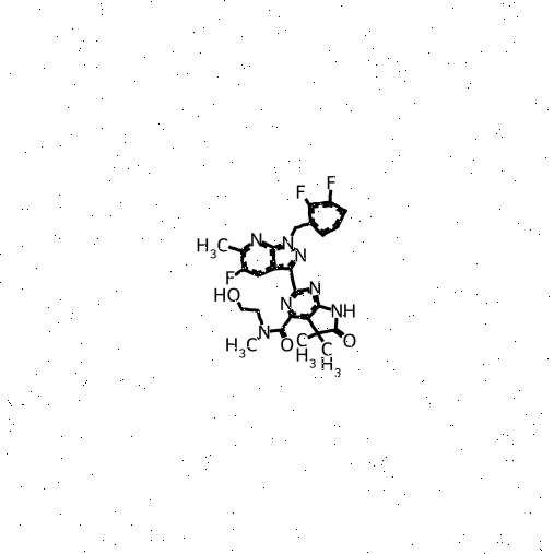 Cc1nc2c(cc1F)c(-c1nc3c(c(C(=O)N(C)CCO)n1)C(C)(C)C(=O)N3)nn2Cc1cccc(F)c1F